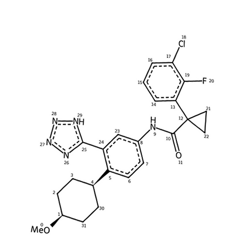 CO[C@H]1CC[C@@H](c2ccc(NC(=O)C3(c4cccc(Cl)c4F)CC3)cc2-c2nnn[nH]2)CC1